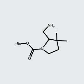 CC(C)(C)OC(=O)N1CCC(F)(F)C1CN